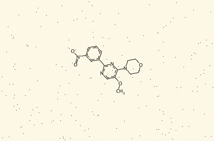 COc1cnc(-c2cccc([N+](=O)[O-])c2)nc1N1CCOCC1